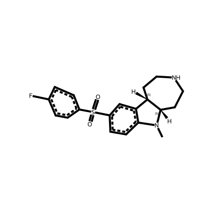 CN1c2ccc(S(=O)(=O)c3ccc(F)cc3)cc2[C@@H]2CCNCC[C@@H]21